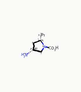 CC(C)[C@H]1C[C@@H](N)CN1C(=O)O